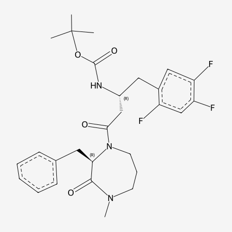 CN1CCCN(C(=O)C[C@@H](Cc2cc(F)c(F)cc2F)NC(=O)OC(C)(C)C)[C@H](Cc2ccccc2)C1=O